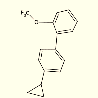 FC(F)(F)Oc1ccccc1-c1c[c]c(C2CC2)cc1